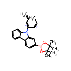 C=C/C=C(\C=C/C)n1c2ccccc2c2ccc(B3OC(C)(C)C(C)(C)O3)cc21